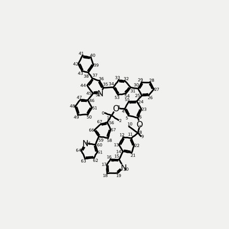 CC(C)(Oc1cc(OC(C)(C)c2ccc(-c3ccccn3)cc2)cc(-c2ccccc2-c2ccc(-c3cc(-c4ccccc4)cc(-c4ccccc4)n3)cc2)c1)c1ccc(-c2ccccn2)cc1